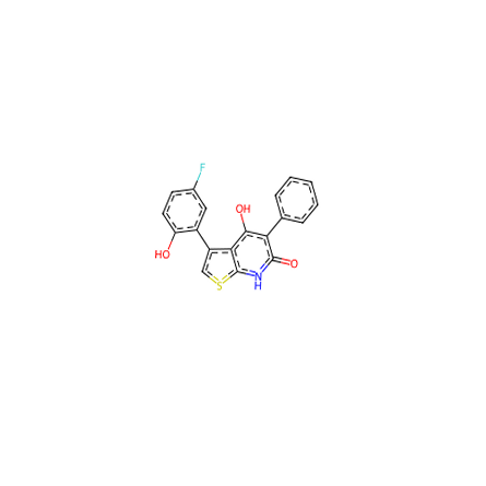 O=c1[nH]c2scc(-c3cc(F)ccc3O)c2c(O)c1-c1ccccc1